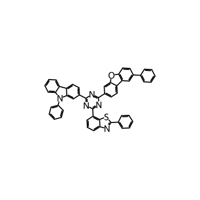 c1ccc(-c2ccc3oc4cc(-c5nc(-c6ccc7c8ccccc8n(-c8ccccc8)c7c6)nc(-c6cccc7nc(-c8ccccc8)sc67)n5)ccc4c3c2)cc1